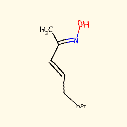 CCCCC=CC(C)=NO